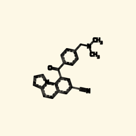 CN(C)Cc1ccc(C(=O)c2cc(C#N)cc3ccc4cccn4c23)cc1